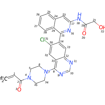 C=CC(=O)N1CCN(c2ncnc3cc(-c4nc(NC(=O)CO)cc5ccccc45)c(Cl)cc23)CC1